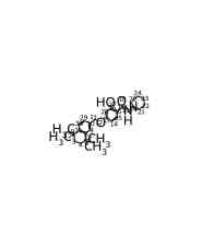 CC1(C)CCC(C)(C)c2cc(COc3ccc(C(=O)NN4CCCCC4)c(O)c3)ccc21